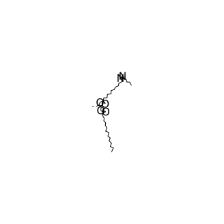 [CH2]C(COC(=O)CCCCCCCCCCCCCCC)OC(=O)CCCCCCCCCCC1(CCCC)N=N1